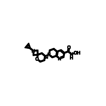 O=C(NO)c1cnc2c(c1)CCN([C@H]1CCOC3(C1)CN(C1CC1)C3)C2